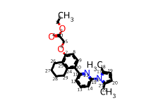 CCOC(=O)COc1ccc(-c2cccc(-n3c(C)ccc3C)n2)c2c1CCCC2